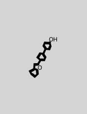 Oc1ccc(-c2ccc(-c3cc4ccccc4o3)cc2)cc1